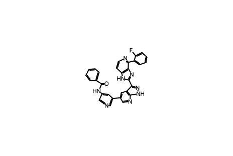 O=C(Nc1cncc(-c2cnc3[nH]nc(-c4nc5c(-c6ccccc6F)nccc5[nH]4)c3c2)c1)c1ccccc1